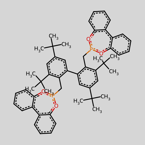 CC(C)(C)c1cc(-c2cc(C(C)(C)C)cc(C(C)(C)C)c2Cp2oc3ccccc3c3ccccc3o2)c(Cp2oc3ccccc3c3ccccc3o2)c(C(C)(C)C)c1